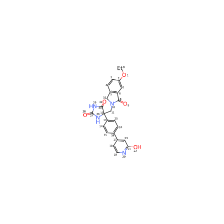 CCOc1ccc2c(c1)C(=O)N(CC1(c3ccc(-c4ccnc(O)c4)cc3)NC(=O)NC1=O)C2